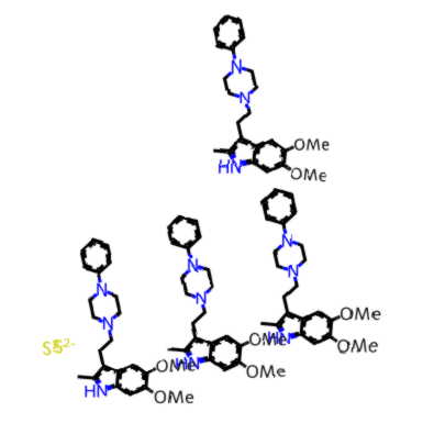 COc1cc2[nH]c(C)c(CCN3CCN(c4ccccc4)CC3)c2cc1OC.COc1cc2[nH]c(C)c(CCN3CCN(c4ccccc4)CC3)c2cc1OC.COc1cc2[nH]c(C)c(CCN3CCN(c4ccccc4)CC3)c2cc1OC.COc1cc2[nH]c(C)c(CCN3CCN(c4ccccc4)CC3)c2cc1OC.[S-2].[S-2]